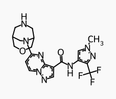 Cn1cc(NC(=O)c2cnn3ccc(N4CC5CNCC4COC5)nc23)c(C(F)(F)F)n1